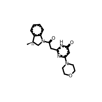 C[C@@H]1CN(C(=O)Cc2nc(N3CCOCC3)cc(=O)[nH]2)c2ccccc21